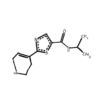 CC(C)NC(=O)c1cnc(C2=CCNCC2)s1